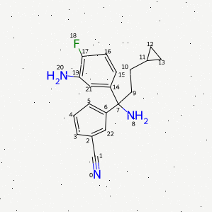 N#Cc1cccc(C(N)(CCC2CC2)c2ccc(F)c(N)c2)c1